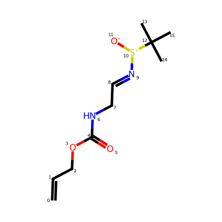 C=CCOC(=O)NCC=N[S+]([O-])C(C)(C)C